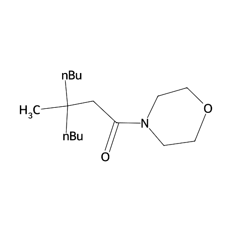 CCCCC(C)(CCCC)CC(=O)N1CCOCC1